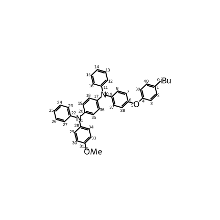 CCC(C)c1ccc(Oc2ccc(N(c3ccccc3)c3ccc(N(c4ccccc4)c4ccc(OC)cc4)cc3)cc2)cc1